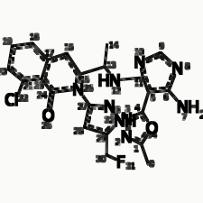 Cc1nnc(-c2c(N)ncnc2NC(C)c2cc3cccc(Cl)c3c(=O)n2-c2cc(CF)[nH]n2)o1